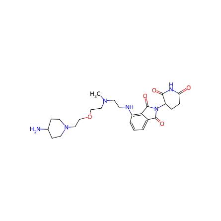 CN(CCNc1cccc2c1C(=O)N(C1CCC(=O)NC1=O)C2=O)CCOCCN1CCC(N)CC1